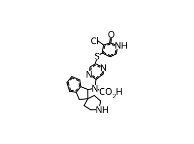 O=C(O)N(c1cnc(Sc2cc[nH]c(=O)c2Cl)cn1)C1c2ccccc2CC12CCNCC2